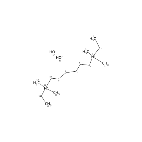 CC[N+](C)(C)CCCCCC[N+](C)(C)CC.[OH-].[OH-]